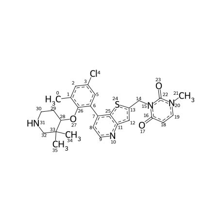 Cc1cc(Cl)cc(-c2ccnc3cc(Cn4c(=O)ccn(C)c4=O)sc23)c1OC1CCNCC1(C)C